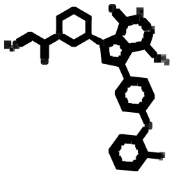 C=CC(=O)N1CCC[C@@H](n2cc(-c3ccc(Oc4ccccc4F)cc3)c3c(N)n[nH]c(=O)c32)C1